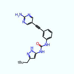 CC(C)(C)Cc1cc(NC(=O)Nc2cccc(C#Cc3cnc(N)nc3)c2)[nH]n1